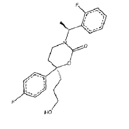 C[C@@H](c1ccccc1F)N1CC[C@](CCCO)(c2ccc(F)cc2)OC1=O